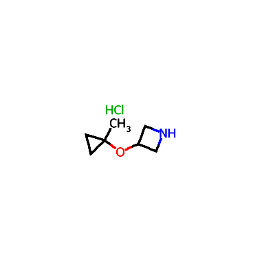 CC1(OC2CNC2)CC1.Cl